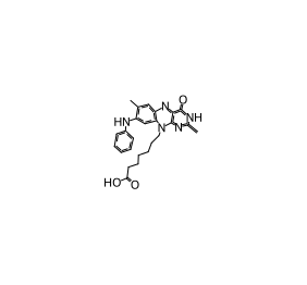 C=c1nc2c(c(=O)[nH]1)=Nc1cc(C)c(Nc3ccccc3)cc1N2CCCCCCC(=O)O